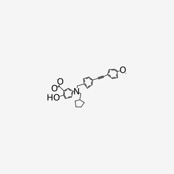 COC(=O)c1cc(N(Cc2ccc(C#Cc3ccc(OC)cc3)cc2)CC2CCCC2)ccc1O